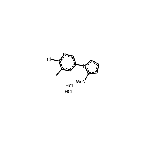 CNc1cccn1-c1cnc(Cl)c(C)c1.Cl.Cl